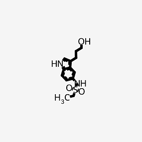 CCS(=O)(=O)Nc1ccc2[nH]cc(CCCO)c2c1